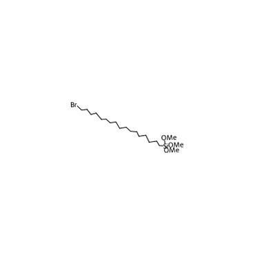 CO[Si](CCCCCCCCCCCCCCCCCBr)(OC)OC